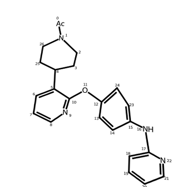 CC(=O)N1CCC(c2cccnc2Oc2ccc(Nc3ccccn3)cc2)CC1